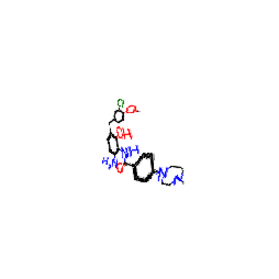 COc1ccc(Cc2ccc(N)c(NC(=O)c3ccc(N4CCCN(C)CC4)cc3)c2O)cc1Cl